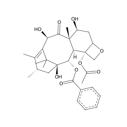 CC(=O)O[C@@]12COC1C[C@H](O)[C@@]1(C)C(=O)[C@H](O)C3=C(C)[C@@H](C)C[C@@](O)([C@@H](OC(=O)c4ccccc4)[C@@H]12)C3(C)C